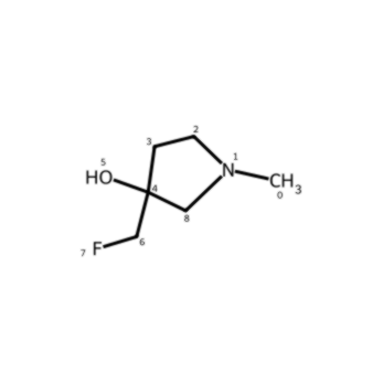 CN1CCC(O)(CF)C1